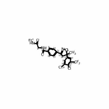 CCNC(=O)CNC(=O)c1ccc(C2=NOC(C)(c3cc(Cl)c(Cl)c(C(F)(F)F)c3)C2)cc1